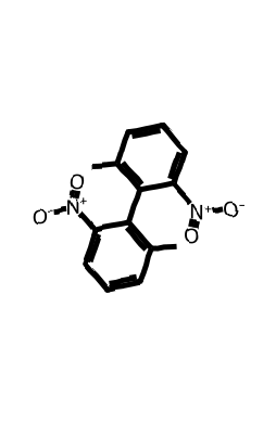 Cc1cccc([N+](=O)[O-])c1-c1c(C)cccc1[N+](=O)[O-]